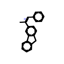 C/C(=C/c1ccccc1)c1ccc2c(c1)-c1ccccc1C2